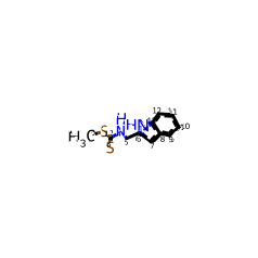 CSC(=S)NCc1cc2ccccc2[nH]1